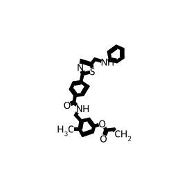 C=CC(=O)Oc1ccc(C)c(CNC(=O)c2ccc(-c3ncc(CNc4ccccc4)s3)cc2)c1